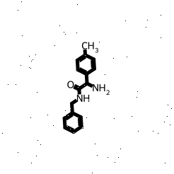 Cc1ccc(C(N)C(=O)NCc2ccccc2)cc1